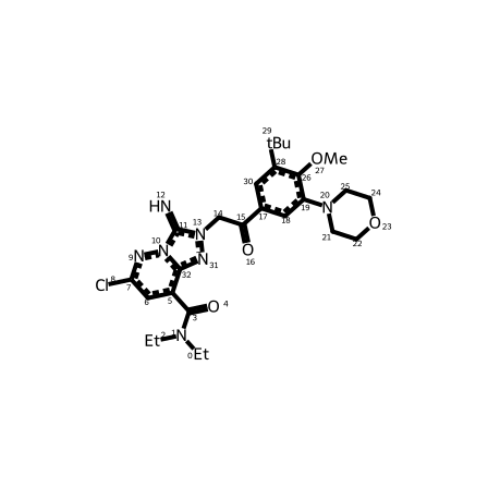 CCN(CC)C(=O)c1cc(Cl)nn2c(=N)n(CC(=O)c3cc(N4CCOCC4)c(OC)c(C(C)(C)C)c3)nc12